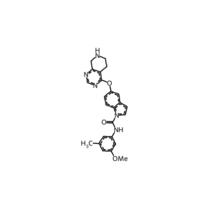 COc1cc(C)cc(NC(=O)n2ccc3cc(Oc4ncnc5c4CCNC5)ccc32)c1